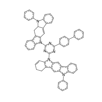 C1=Cc2c(c3cc4c(cc3n2-c2nc(-c3ccc(-c5ccccc5)cc3)nc(-n3c5c(c6ccccc63)CC3C(=C5)c5ccccc5N3c3ccccc3)n2)c2ccccc2n4-c2ccccc2)CC1